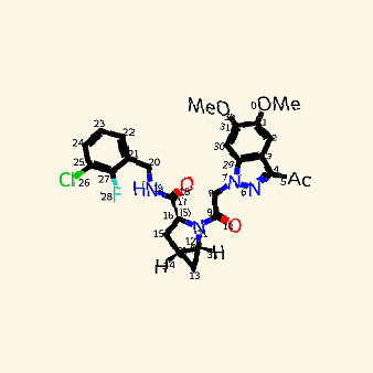 COc1cc2c(C(C)=O)nn(CC(=O)N3[C@@H]4C[C@@H]4C[C@H]3C(=O)NCc3cccc(Cl)c3F)c2cc1OC